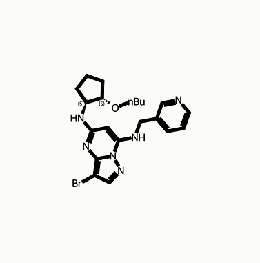 CCCCO[C@H]1CCC[C@@H]1Nc1cc(NCc2cccnc2)n2ncc(Br)c2n1